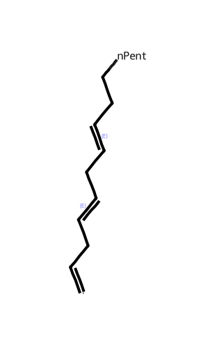 [CH]=CC/C=C/C/C=C/CCCCCCC